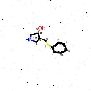 O[C@H]1CNC[C@@H]1CSc1ccccc1